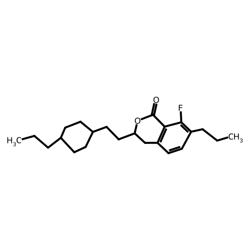 CCCc1ccc2c(c1F)C(=O)OC(CCC1CCC(CCC)CC1)C2